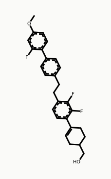 COc1ccc(-c2ccc(CCc3ccc(C4=CCC(CO)CC4)c(F)c3F)cc2)c(F)c1